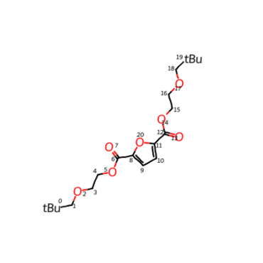 CC(C)(C)COCCOC(=O)c1ccc(C(=O)OCCOCC(C)(C)C)o1